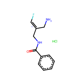 Cl.NC/C(=C\F)CNC(=O)c1ccccc1